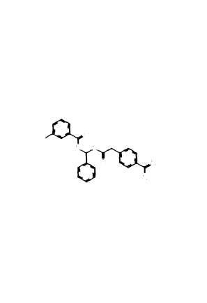 Cc1cccc(C(=O)NC(NC(=O)Cc2ccc(C(=N)N)cc2)c2ccccc2)c1.Cl